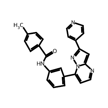 Cc1ccc(C(=O)Nc2cccc(-c3ccnc4cc(-c5ccncc5)nn34)c2)cc1